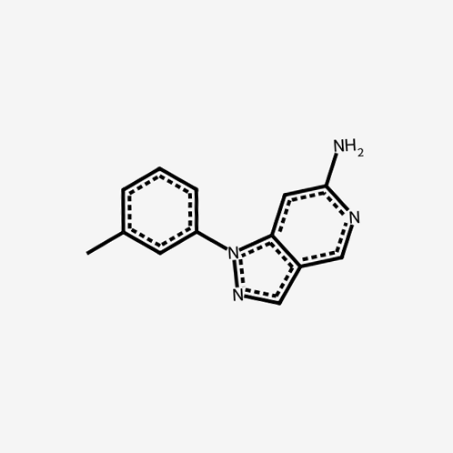 Cc1cccc(-n2ncc3cnc(N)cc32)c1